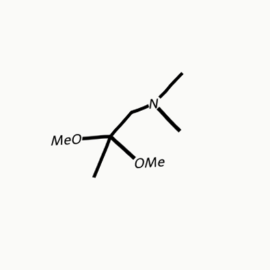 COC(C)(CN(C)C)OC